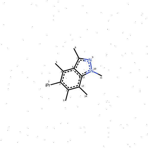 Cc1c(C(C)C)c(C)c2c(C)nn(C)c2c1C